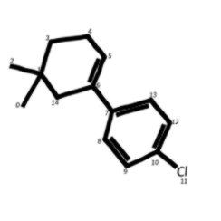 CC1(C)CC[C]=C(c2ccc(Cl)cc2)C1